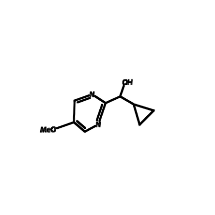 COc1cnc(C(O)C2CC2)nc1